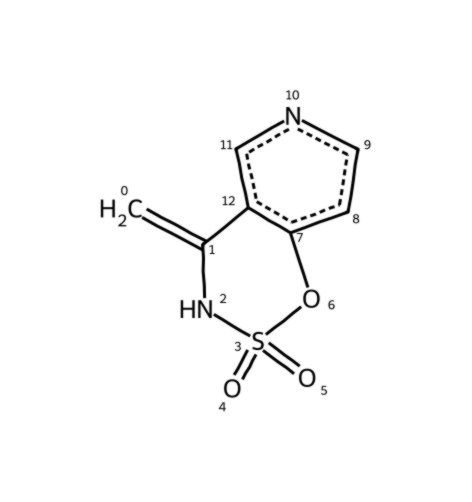 C=C1NS(=O)(=O)Oc2ccncc21